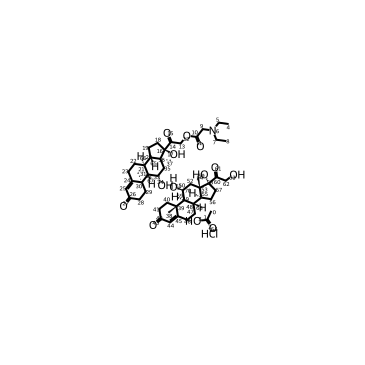 CC(=O)O.CCN(CC)CC(=O)OCC(=O)[C@@]1(O)CC[C@H]2[C@@H]3CCC4=CC(=O)CC[C@]4(C)[C@H]3[C@@H](O)C[C@@]21C.C[C@]12CCC(=O)C=C1CC[C@@H]1[C@@H]2[C@@H](O)C[C@@]2(C)[C@H]1CC[C@]2(O)C(=O)CO.Cl